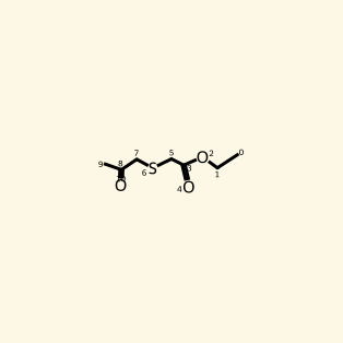 CCOC(=O)CSCC(C)=O